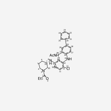 CCC(=O)N1CCC[C@H](Nc2ncc(Cl)c(Nc3ccc(-c4ccccc4)cc3NC(C)=O)n2)C1